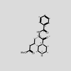 COC(=O)CCC[C@H](NC(=O)c1ccccc1)C(=O)N1CCNCC1